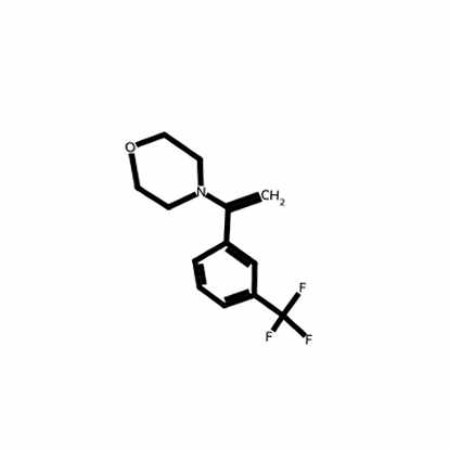 C=C(c1cccc(C(F)(F)F)c1)N1CCOCC1